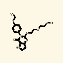 CCOCCOCCOc1nc2cc[nH]c2c(=O)n1-c1ccc(OCC(F)(F)F)cc1